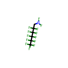 FN(F)CC(F)(F)C(F)(F)C(F)(F)C(F)(F)C(F)(F)F